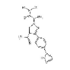 CCN(CC)C(=O)C(C)n1cc2c(N)nc3cc(-c4ccn[nH]4)ccc3c2n1